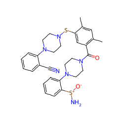 Cc1cc(C)c(C(=O)N2CCN(c3ccccc3[S+](N)[O-])CC2)cc1SN1CCN(c2ccccc2C#N)CC1